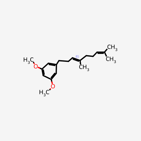 COc1cc(CC/C=C(\C)CCC=C(C)C)cc(OC)c1